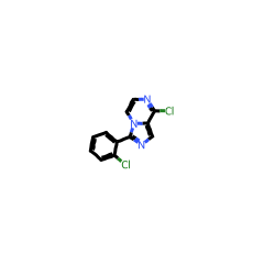 Clc1ccccc1-c1ncc2c(Cl)nccn12